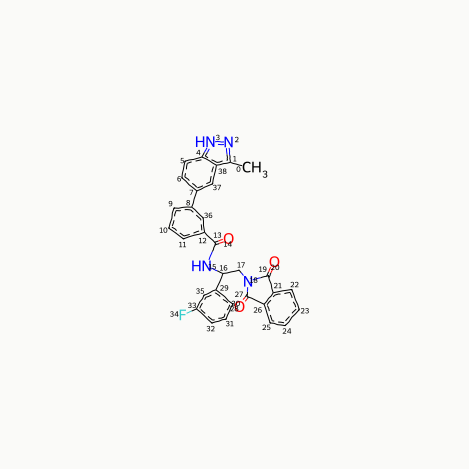 Cc1n[nH]c2ccc(-c3cccc(C(=O)NC(CN4C(=O)c5ccccc5C4=O)c4cccc(F)c4)c3)cc12